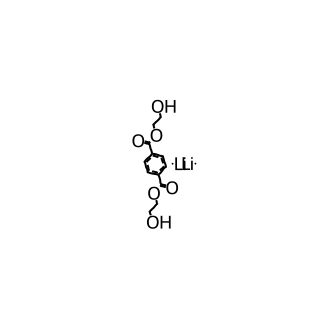 O=C(OCCO)c1ccc(C(=O)OCCO)cc1.[Li].[Li]